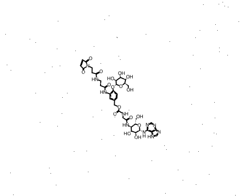 O=C(CCN1C(=O)C=CC1=O)NCCC(=O)Nc1cc(COC(=O)NCC(=O)N[C@@H]2[C@@H](O)[C@H](O)[C@@H](Nc3ncnc4nc[nH]c34)O[C@H]2CO)ccc1O[C@H]1O[C@H](CO)[C@@H](O)[C@H](O)[C@@H]1O